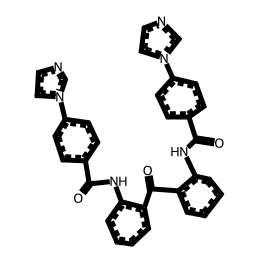 O=C(Nc1ccccc1C(=O)c1ccccc1NC(=O)c1ccc(-n2ccnc2)cc1)c1ccc(-n2ccnc2)cc1